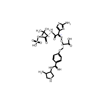 CC1(C)[C@H](NC(=O)/C(=N\O[C@@H](COc2ccc(C(=N)NC3CNCC3N)cc2)C(=O)O)c2csc(N)n2)C(=O)N1OS(=O)(=O)O